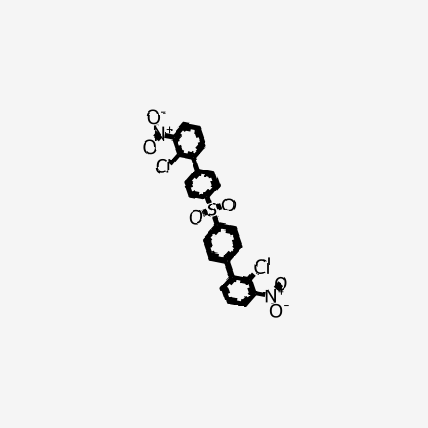 O=[N+]([O-])c1cccc(-c2ccc(S(=O)(=O)c3ccc(-c4cccc([N+](=O)[O-])c4Cl)cc3)cc2)c1Cl